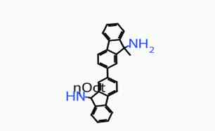 CCCCCCCCNC1c2ccccc2-c2ccc(-c3ccc4c(c3)C(C)(N)c3ccccc3-4)cc21